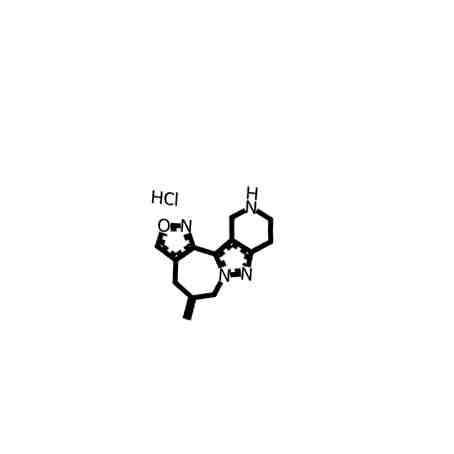 C=C1Cc2conc2-c2c3c(nn2C1)CCNC3.Cl